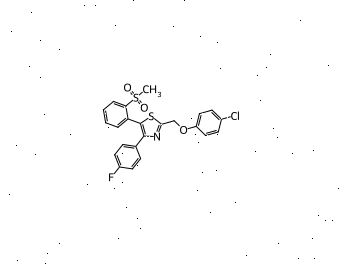 CS(=O)(=O)c1ccccc1-c1sc(COc2ccc(Cl)cc2)nc1-c1ccc(F)cc1